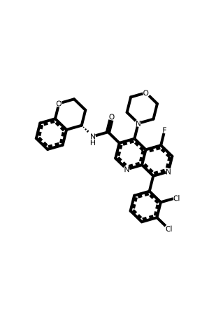 O=C(N[C@H]1CCOc2ccccc21)c1cnc2c(-c3cccc(Cl)c3Cl)ncc(F)c2c1N1CCOCC1